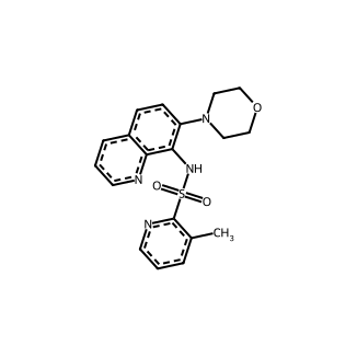 Cc1cccnc1S(=O)(=O)Nc1c(N2CCOCC2)ccc2cccnc12